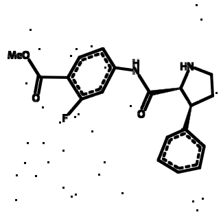 COC(=O)c1ccc(NC(=O)[C@H]2NCC[C@H]2c2ccccc2)cc1F